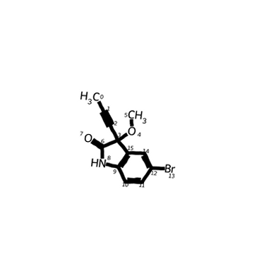 CC#CC1(OC)C(=O)Nc2ccc(Br)cc21